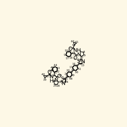 O=C(N[C@H](C(=O)N1CCC[C@H]1c1ncc(-c2ccc(-c3ccc(-c4cnc([C@@H]5CCCN5C(=O)[C@H](NC(=O)C5CC5)c5ccccc5)s4)cc3)cc2)s1)c1ccccc1)C1CC1